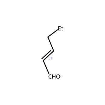 CCC/C=C/[C]=O